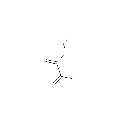 COC(=O)C(=O)OC#N